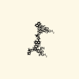 C=C(F)C(=O)N1CCN(c2nc(OCC3(CN4CC(c5ccc(Cl)c6c(N7CCc8c(nc(OCC9(CN%10CCC%10)CC9)nc8N8CCN(C(=O)C(=C)F)[C@@H](CC#N)C8)C7)cccc56)C4)CC3)nc3c2CCN(c2cccc4cccc(Cl)c24)C3)CC1CC#N